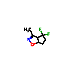 CC1=NOC2CCC(F)(F)C12